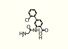 CNCC(=O)Nc1cc(-c2ccccc2Cl)ccc1C(=O)O